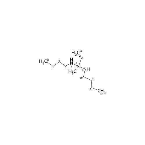 C=C[Si](C)(NCCCC)NCCCC